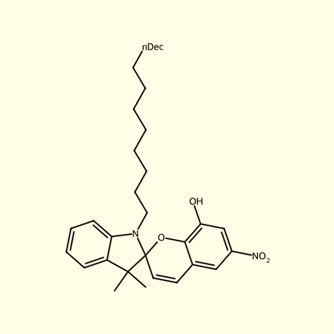 CCCCCCCCCCCCCCCCCCN1c2ccccc2C(C)(C)C12C=Cc1cc([N+](=O)[O-])cc(O)c1O2